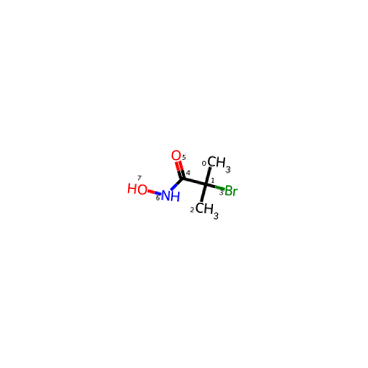 CC(C)(Br)C(=O)NO